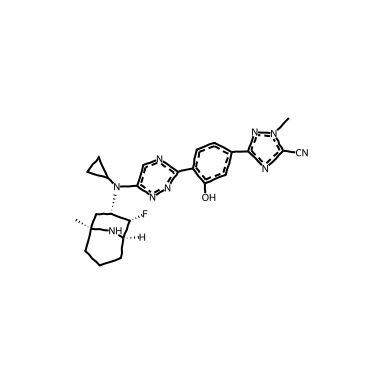 Cn1nc(-c2ccc(-c3ncc(N(C4CC4)[C@H]4C[C@]5(C)CCC[C@@H](N5)[C@H]4F)nn3)c(O)c2)nc1C#N